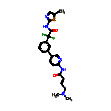 Cc1cnc(NC(=O)C(F)(F)c2cccc(-c3ccc(NC(=O)C=CCN(C)C)nc3)c2)s1